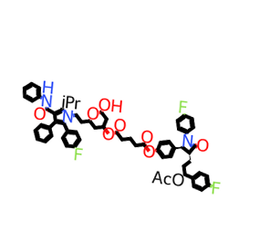 CC(=O)O[C@@H](CC[C@H]1C(=O)N(c2ccc(F)cc2)[C@@H]1c1ccc(OC(=O)CCCC(=O)OC2CC(O)OC(CCn3c(-c4ccc(F)cc4)c(-c4ccccc4)c(C(=O)Nc4ccccc4)c3C(C)C)C2)cc1)c1ccc(F)cc1